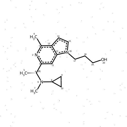 Cc1nc([C@@H](C)N(C)C2CC2)cc2c1ccn2CCCO